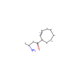 CC(N)CC(=O)C1/C=C\CCCCC1